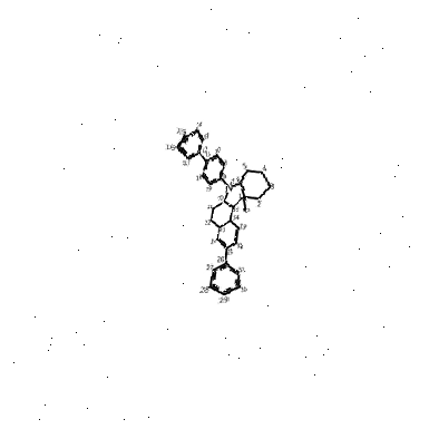 CC12CCCCC1N(c1ccc(-c3ccccc3)cc1)C1CCC3C=C(c4ccccc4)C=CC3C12